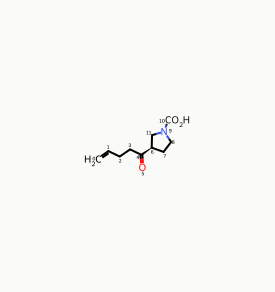 C=CCCC(=O)[C@@H]1CCN(C(=O)O)C1